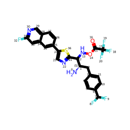 N[C@@H](Cc1ccc(C(F)F)cc1)C(NOC(=O)C(F)(F)F)c1ncc(-c2ccc3cnc(F)cc3c2)s1